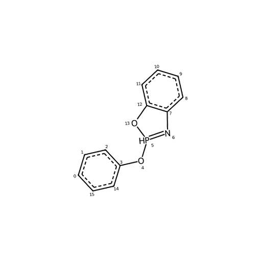 c1ccc(O[PH]2=Nc3ccccc3O2)cc1